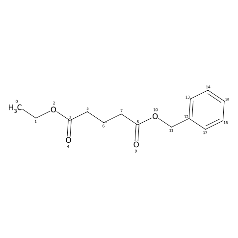 CCOC(=O)C[CH]CC(=O)OCc1ccccc1